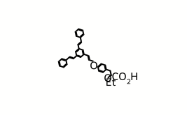 CCO[C@@H](Cc1ccc(OCC=Cc2cc(C=Cc3ccccc3)cc(C=Cc3ccccc3)c2)cc1)C(=O)O